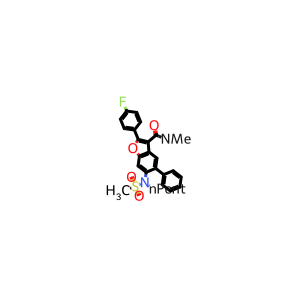 CCCCCN(c1cc2oc(-c3ccc(F)cc3)c(C(=O)NC)c2cc1-c1ccccc1)S(C)(=O)=O